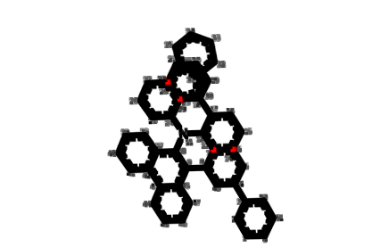 c1ccc(-c2cccc(-c3c(N(c4ccccc4-c4ccccc4)c4cccc5c4sc4ccccc45)c4ccccc4c4ccccc34)c2)cc1